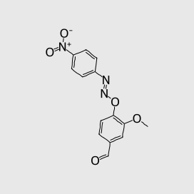 COc1cc(C=O)ccc1ON=Nc1ccc([N+](=O)[O-])cc1